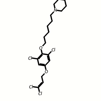 ClC(Cl)=CCOc1cc(Cl)c(OCCCCCCN2CCCCC2)c(Cl)c1